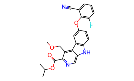 COCc1c(C(=O)OC(C)C)ncc2[nH]c3ccc(Oc4c(F)cccc4C#N)cc3c12